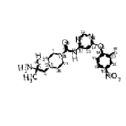 CC(C)(N)CN1CCN(C(=O)Nc2cc(Oc3ccc([N+](=O)[O-])cc3F)ncn2)CC1